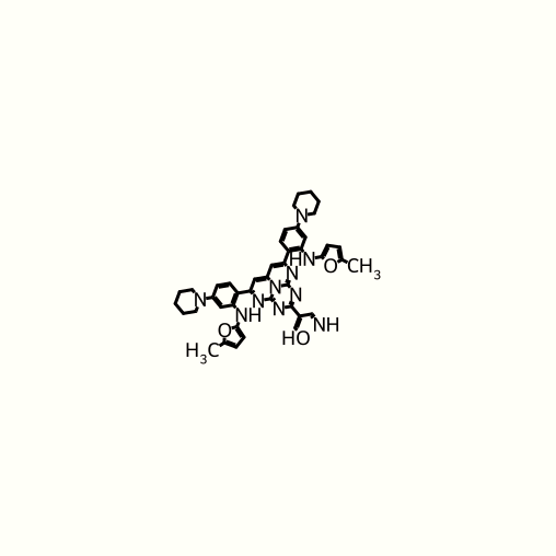 Cc1ccc(Nc2cc(N3CCCCC3)ccc2C2=CC3=CC(c4ccc(N5CCCCC5)cc4Nc4ccc(C)o4)=NC4=NC(/C(C=N)=C/O)=NC(=N2)N34)o1